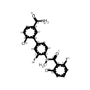 CN(C(=O)c1c(F)cccc1Cl)c1ccc(-c2cc(C(N)=O)ccc2Cl)cc1F